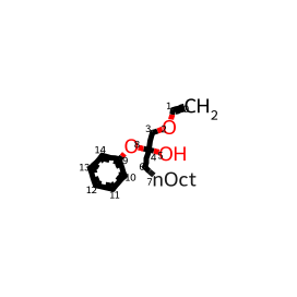 C=COCC(O)(CCCCCCCCC)Oc1ccccc1